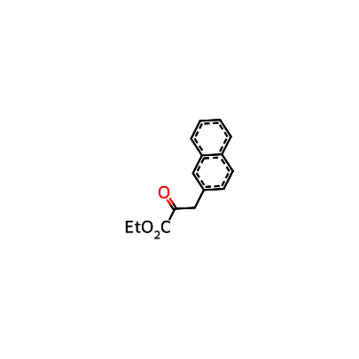 CCOC(=O)C(=O)Cc1ccc2ccccc2c1